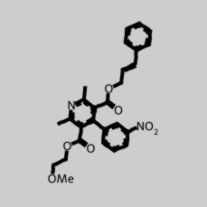 COCCOC(=O)c1c(C)nc(C)c(C(=O)OC/C=C/c2ccccc2)c1-c1cccc([N+](=O)[O-])c1